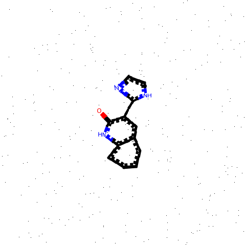 O=c1[nH]c2ccccc2cc1-c1ncc[nH]1